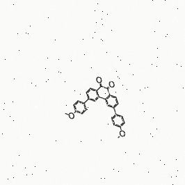 COc1ccc(-c2ccc3c(c2)-c2cc(-c4ccc(OC)cc4)ccc2C(=O)C3=O)cc1